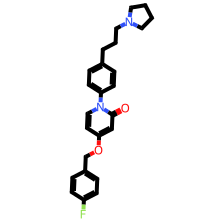 O=c1cc(OCc2ccc(F)cc2)ccn1-c1ccc(CCCN2CCCC2)cc1